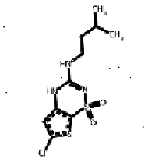 CC(C)CCNC1=NS(=O)(=O)c2sc(Cl)cc2N1